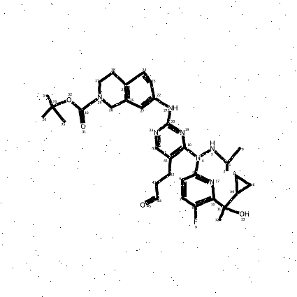 CC(C)NN(c1ccc(F)c(C(C)(O)C2CC2)n1)c1nc(Nc2ccc3c(c2)CN(C(=O)OC(C)(C)C)CC3)ncc1CCC=O